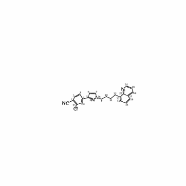 N#Cc1ccc(-c2ccn(CCCCc3cccc4cccnc34)n2)cc1Cl